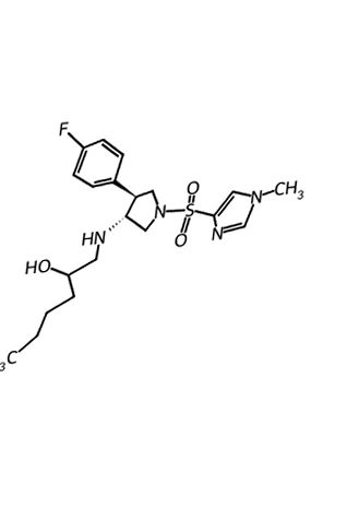 CCCCC(O)CN[C@H]1CN(S(=O)(=O)c2cn(C)cn2)C[C@@H]1c1ccc(F)cc1